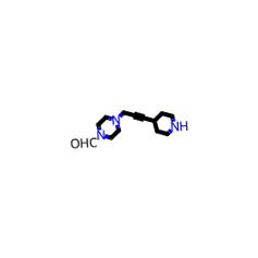 O=CN1CCN(CC#CC2CCNCC2)CC1